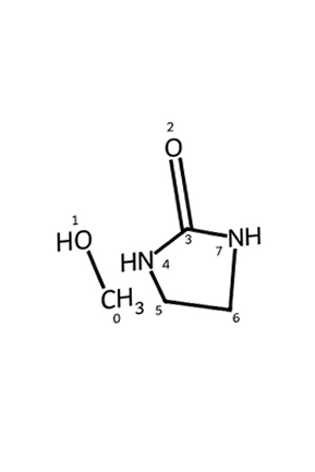 CO.O=C1NCCN1